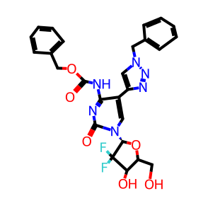 O=C(Nc1nc(=O)n([C@@H]2OC(CO)C(O)C2(F)F)cc1-c1cn(Cc2ccccc2)nn1)OCc1ccccc1